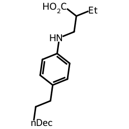 CCCCCCCCCCCCc1ccc(NCC(CC)C(=O)O)cc1